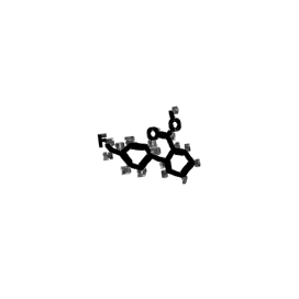 COC(=O)c1ccccc1-c1ccc(CF)cc1